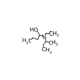 CCCC(O)N(CC)C(C)CC